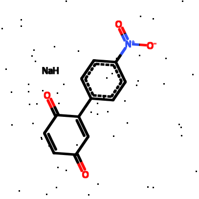 O=C1C=CC(=O)C(c2ccc([N+](=O)[O-])cc2)=C1.[NaH]